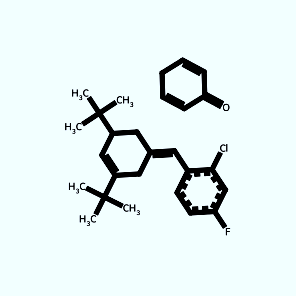 CC(C)(C)C1=CC(C(C)(C)C)CC(=Cc2ccc(F)cc2Cl)C1.O=C1C=CCC=C1